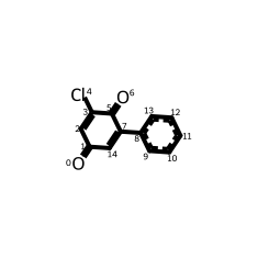 O=C1C=C(Cl)C(=O)C(c2ccccc2)=C1